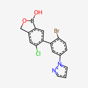 OB1OCc2cc(Cl)c(-c3cc(-n4cccn4)ccc3Br)cc21